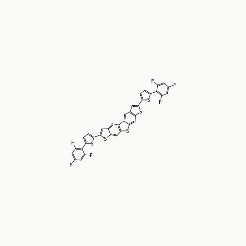 Fc1cc(F)c(-c2ccc(-c3cc4cc5c(cc4s3)sc3cc4sc(-c6ccc(-c7c(F)cc(F)cc7F)s6)cc4cc35)s2)c(F)c1